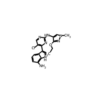 CCOc1nn(C)cc1Nc1ncc(Cl)c(-c2c[nH]c3c(N)cccc23)n1